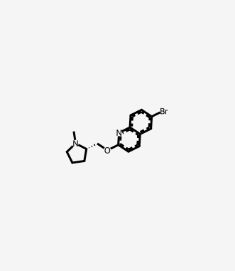 CN1CCC[C@H]1COc1ccc2cc(Br)ccc2n1